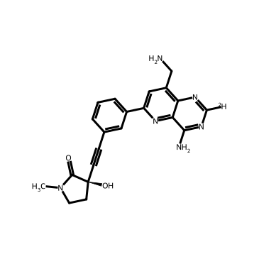 [2H]c1nc(N)c2nc(-c3cccc(C#C[C@]4(O)CCN(C)C4=O)c3)cc(CN)c2n1